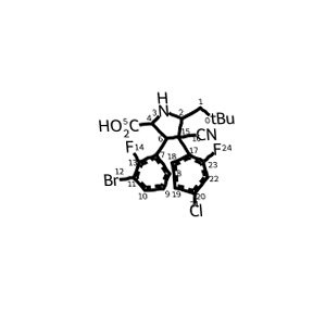 CC(C)(C)CC1NC(C(=O)O)C(c2cccc(Br)c2F)C1(C#N)c1ccc(Cl)cc1F